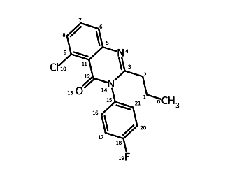 CCCc1nc2cccc(Cl)c2c(=O)n1-c1ccc(F)cc1